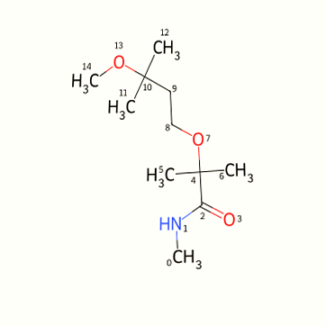 CNC(=O)C(C)(C)OCCC(C)(C)OC